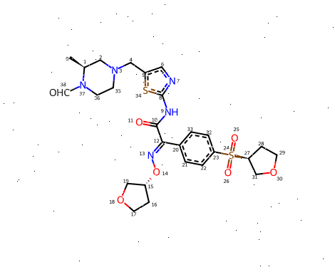 C[C@H]1CN(Cc2cnc(NC(=O)/C(=N/O[C@@H]3CCOC3)c3ccc(S(=O)(=O)[C@H]4CCOC4)cc3)s2)CCN1C=O